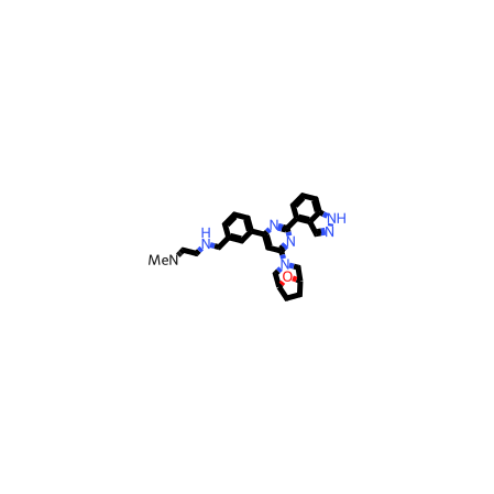 CNCCNCc1cccc(-c2cc(N3CC4CCC(C3)O4)nc(-c3cccc4[nH]ncc34)n2)c1